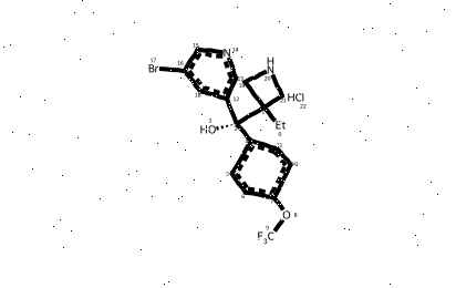 CCC1([C@@](O)(c2ccc(OC(F)(F)F)cc2)c2cncc(Br)c2)CNC1.Cl